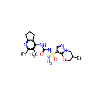 CCC1COc2c(S(N)(=O)=NC(=O)Nc3c(C)c(C(C)C)nc4c3CCC4)cnn2C1